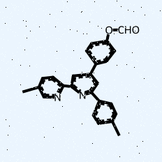 Cc1ccc(-c2cc(-c3ccc(OC=O)cc3)cc(-c3ccc(C)cn3)n2)cc1